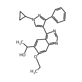 CCOc1cc2ncnc(-c3cn(C4CC4)nc3-c3ccccc3)c2cc1C(C)O